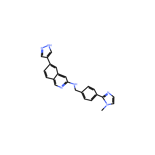 Cn1ccnc1-c1ccc(CNc2cc3cc(-c4cn[nH]c4)ccc3cn2)cc1